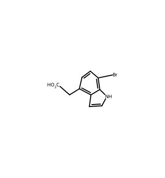 O=C(O)Cc1ccc(Br)c2[nH]ccc12